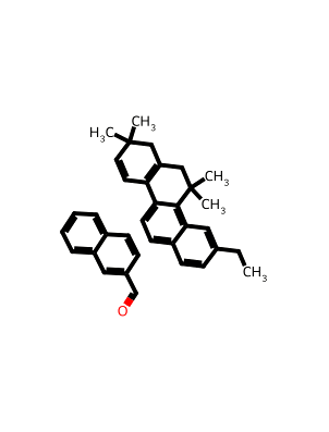 CCc1ccc2ccc3c(c2c1)C(C)(C)CC1=C3C=CC(C)(C)C1.O=Cc1ccc2ccccc2c1